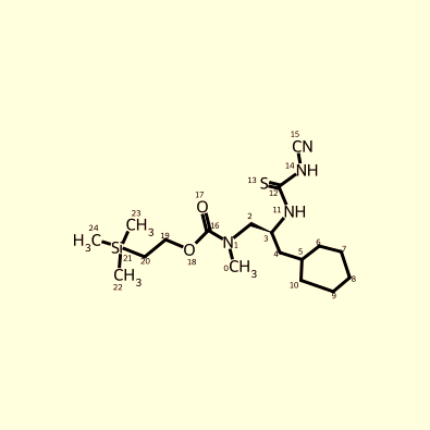 CN(C[C@H](CC1CCCCC1)NC(=S)NC#N)C(=O)OCC[Si](C)(C)C